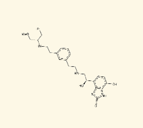 COC[C@H](CC(C)C)NCCc1cccc(CCNC[C@H](O)c2ccc(O)c3[nH]c(=O)sc23)c1